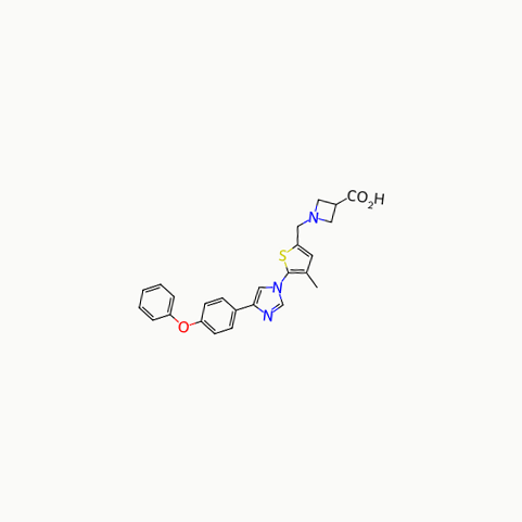 Cc1cc(CN2CC(C(=O)O)C2)sc1-n1cnc(-c2ccc(Oc3ccccc3)cc2)c1